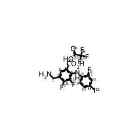 NCc1cc(C(=O)O)c(Nc2ccc(I)cc2F)c(F)c1F.O=C(O)C(F)(F)F